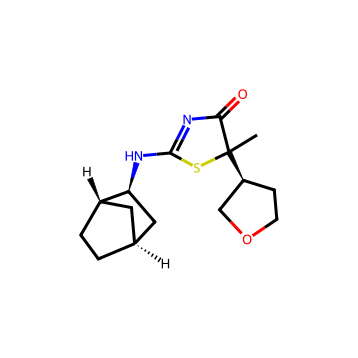 CC1([C@H]2CCOC2)SC(N[C@H]2C[C@H]3CC[C@H]2C3)=NC1=O